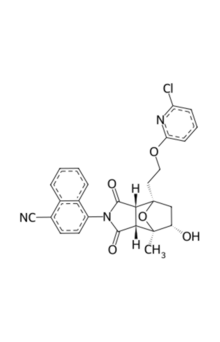 C[C@]12O[C@](CCOc3cccc(Cl)n3)(C[C@@H]1O)[C@H]1C(=O)N(c3ccc(C#N)c4ccccc34)C(=O)[C@H]12